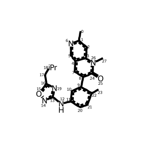 Cc1cc2c(cn1)cc(-c1cc(Nc3noc(CC(C)C)n3)ccc1C)c(=O)n2C